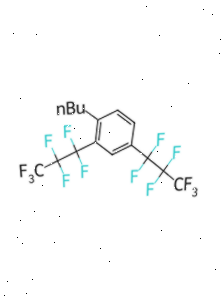 [CH2]CCCc1ccc(C(F)(F)C(F)(F)C(F)(F)F)cc1C(F)(F)C(F)(F)C(F)(F)F